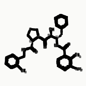 Cc1ccccc1CNC(=O)[C@@H]1CSCN1C(=O)[C@@H](O)[C@H](Cc1ccccc1)NC(=O)c1cccc(N)c1C